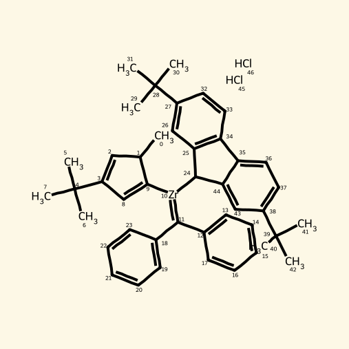 CC1C=C(C(C)(C)C)C=[C]1[Zr](=[C](c1ccccc1)c1ccccc1)[CH]1c2cc(C(C)(C)C)ccc2-c2ccc(C(C)(C)C)cc21.Cl.Cl